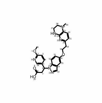 COc1ccc(C(CC(=O)O)n2ncc3cc(OCCc4ccc5c(n4)NCCN5C)ccc32)cn1